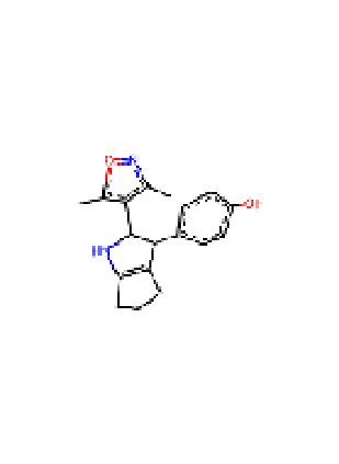 Cc1noc(C)c1C1NC2=C(CCC2)C1c1ccc(O)cc1